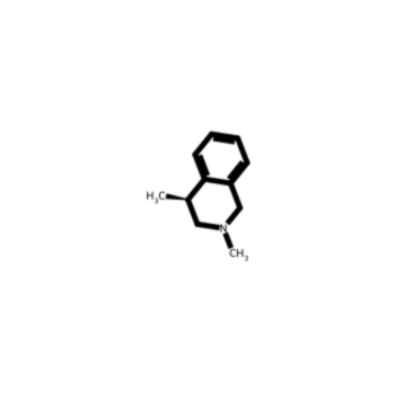 C[C@@H]1CN(C)Cc2ccccc21